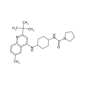 Cc1ccc2nc(C(C)(C)C)cc(NC3CCC(NC(=O)N4CCCC4)CC3)c2c1